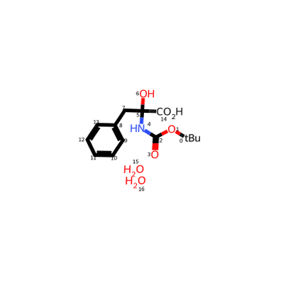 CC(C)(C)OC(=O)NC(O)(Cc1ccccc1)C(=O)O.O.O